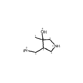 CC(C)CC1CNCC1(C)O